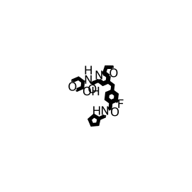 O=C(N[C@H]1CCOC[C@@H]1O)c1cc(Cc2ccc(C(=O)NCC3CCCC3)c(F)c2)c2c(n1)CCO2